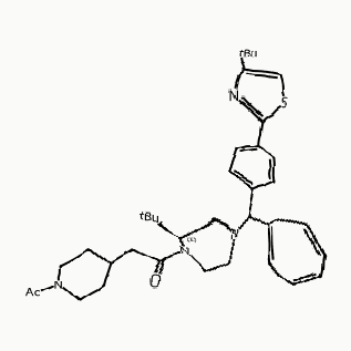 CC(=O)N1CCC(CC(=O)N2CCN(C(c3ccccc3)c3ccc(-c4nc(C(C)(C)C)cs4)cc3)C[C@@H]2C(C)(C)C)CC1